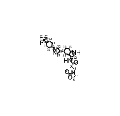 O=C(CCN1CCOC1=O)Nc1c[nH]c2ccc(-c3cnn(-c4ccc(C(F)(F)F)cc4)c3)cc12